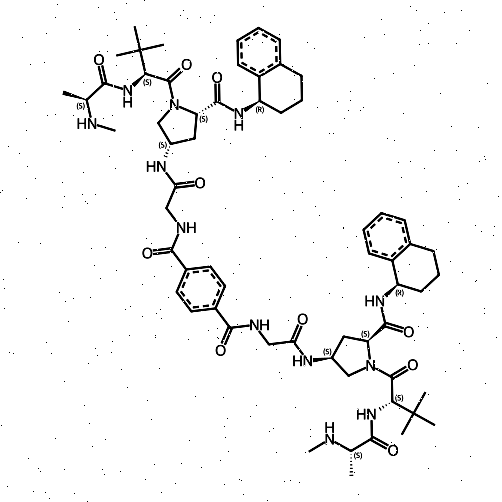 CN[C@@H](C)C(=O)N[C@H](C(=O)N1C[C@@H](NC(=O)CNC(=O)c2ccc(C(=O)NCC(=O)N[C@H]3C[C@@H](C(=O)N[C@@H]4CCCc5ccccc54)N(C(=O)[C@@H](NC(=O)[C@H](C)NC)C(C)(C)C)C3)cc2)C[C@H]1C(=O)N[C@@H]1CCCc2ccccc21)C(C)(C)C